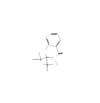 CN1C(=O)c2ccccc2OC1(C(C)(C)C)C(C)(C)C